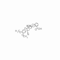 COC(=O)C(C#N)(CCCC(C)(N)Cc1ccccc1C(=O)O)c1ccc(OC)c(OC)c1